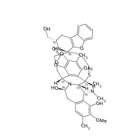 COc1c(C)cc2c(c1O)[C@@H](N(C)C)[C@H]1[C@H]3SCCC[C@]4(N[C@H](CO)Cc5c4oc4ccccc54)C(=O)OC[C@H](c4c5c(c(C)c(OC(C)=O)c43)OCO5)N1[C@H](O)C2